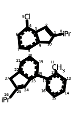 CC(C)C1=Cc2c(Cl)cccc2C1.Cc1ccccc1-c1cccc2c1C=C(C(C)C)C2